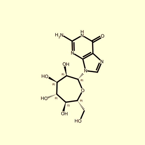 Nc1nc2c(ncn2[C@@H]2O[C@H](CO)[C@@H](O)[C@H](O)[C@@H](O)[C@H]2O)c(=O)[nH]1